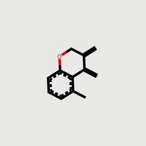 C=C1COc2cccc(C)c2C1=C